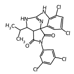 CC(C)C1NC2=NC3(C(=O)N(c4cc(Cl)cc(Cl)c4)C(=O)C13)c1cc(Cl)cc(Cl)c1N2